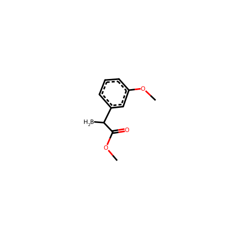 BC(C(=O)OC)c1cccc(OC)c1